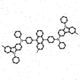 Cc1ccc2c(-c3ccc(N(c4ccccc4)c4ccc5c(c4)c4cc(C)ccc4n5-c4ccccc4)cc3)c3ccccc3c(-c3ccc(N(c4ccccc4)c4ccc5c(c4)c4cc(C)ccc4n5-c4ccccc4)cc3)c2c1